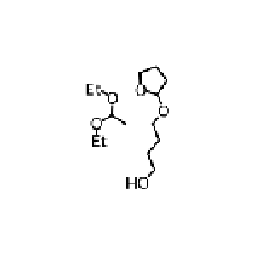 CCOC(C)OCC.OCCCCOC1CCCO1